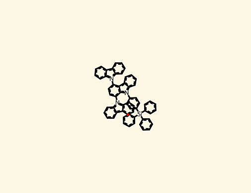 c1ccc([Si](c2ccccc2)(c2ccccc2)c2ccc(-n3c4ccccc4c4c(-n5c6ccccc6c6ccccc65)ccc(-n5c6ccccc6c6ccccc65)c43)cc2)cc1